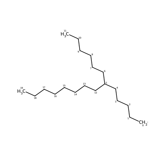 [CH2]CCCCC(CCCCCC)CCCCCCCC